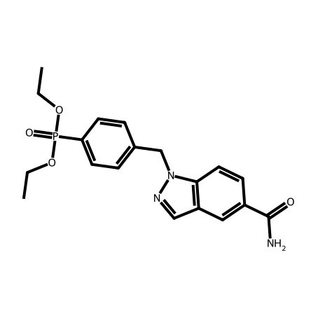 CCOP(=O)(OCC)c1ccc(Cn2ncc3cc(C(N)=O)ccc32)cc1